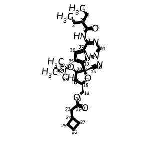 CCC(CC)C(=O)Nc1ncnn2c([C@]3(C#N)O[C@@H](COC(=O)CC4CCC4)[CH][C@H]3O[Si](C)(C)C)ccc12